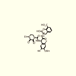 CCN1CCN(C(=O)NC(C(=O)N[C@H]2Cc3cccc(C(=O)O)c3OB2O)c2cc(C#N)c(OC)cc2F)C(=O)C1=O